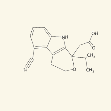 CC(C)C1(CC(=O)O)OCCc2c1[nH]c1cccc(C#N)c21